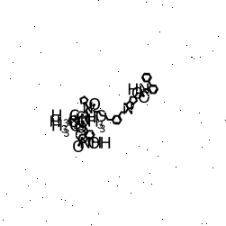 CC(C)(C)[Si](C)(C)O[C@@H](CNCCN(C(=O)CCOCCc1cccc(CCN2CC3CC(OC(=O)Nc4ccccc4-c4ccccc4)CC3C2)c1)C1CCCC1)c1ccc(O)c2c1OCC(=O)N2